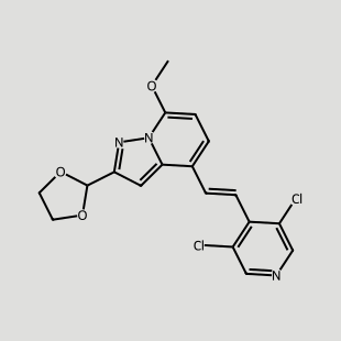 COc1ccc(/C=C/c2c(Cl)cncc2Cl)c2cc(C3OCCO3)nn12